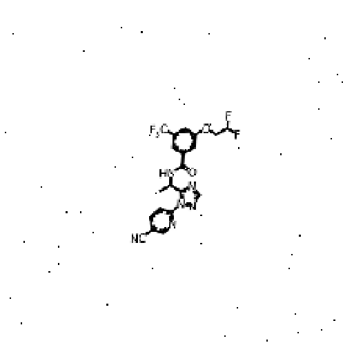 CC(NC(=O)c1cc(OCC(F)F)cc(C(F)(F)F)c1)c1ncnn1-c1ccc(C#N)cn1